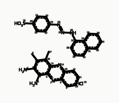 Cc1c(N)c(N)c2nc3ccccc3nc2c1C.Cl.O=S(=O)(O)c1ccc(N=NNc2cccc3ccccc23)cc1